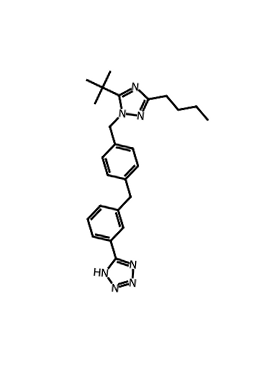 CCCCc1nc(C(C)(C)C)n(Cc2ccc(Cc3cccc(-c4nnn[nH]4)c3)cc2)n1